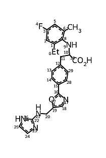 CCc1cc(F)cc(C)c1NC(Cc1ccc(-c2ncc(CNc3ncc[nH]3)o2)cc1)C(=O)O